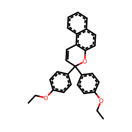 CCOc1ccc(C2(c3ccc(OCC)cc3)C=Cc3c(ccc4ccccc34)O2)cc1